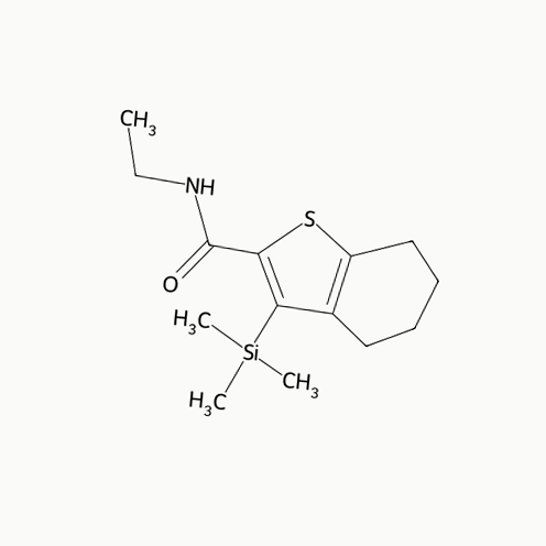 CCNC(=O)c1sc2c(c1[Si](C)(C)C)CCCC2